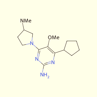 CNC1CCN(c2nc(N)nc(C3CCCC3)c2OC)C1